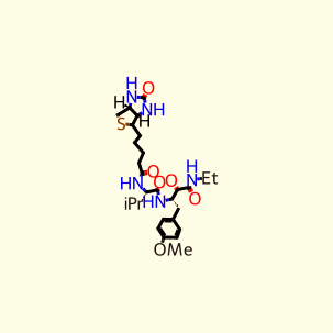 CCNC(=O)C(=O)[C@H](Cc1ccc(OC)cc1)NC(=O)[C@@H](NC(=O)CCCCC1SC[C@@H]2NC(=O)N[C@H]12)C(C)C